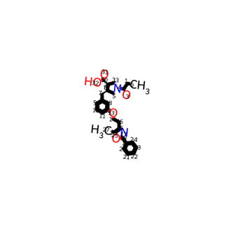 CCC(=O)N1C[C@@H](Cc2cccc(OCCc3nc(-c4ccccc4)oc3C)c2)[C@@H](C(=O)O)C1